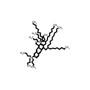 CCCCCCCCCCC(CCCCCCCC)Cc1[c]([Sn]([CH2]CCC)([CH2]CCC)[CH2]CCC)c(C=O)c2cc3c[c]([Sn]([CH2]CCC)([CH2]CCC)[CH2]CCC)ccc3cc2c1CC(CCCCCCCC)CCCCCCCCCC